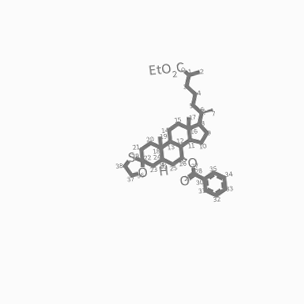 CCOC(=O)C(C)CCC[C@@H](C)C1CCC2C3C(CCC21C)C1(C)CCC2(C[C@@H]1C[C@H]3OC(=O)c1ccccc1)OCCS2